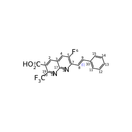 O=C(O)c1cc2cc(F)c(/C=C/c3ccccc3)nc2nc1C(F)(F)F